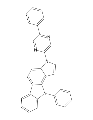 c1ccc(-c2cnc(-n3ccc4c3ccc3c5ccccc5n(-c5ccccc5)c34)cn2)cc1